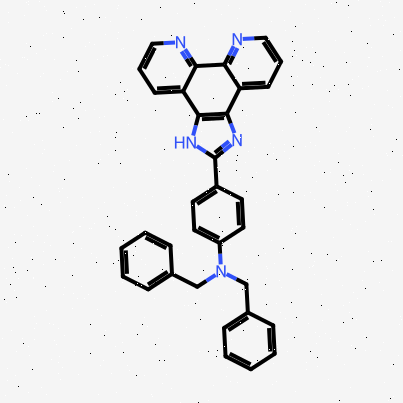 c1ccc(CN(Cc2ccccc2)c2ccc(-c3nc4c5cccnc5c5ncccc5c4[nH]3)cc2)cc1